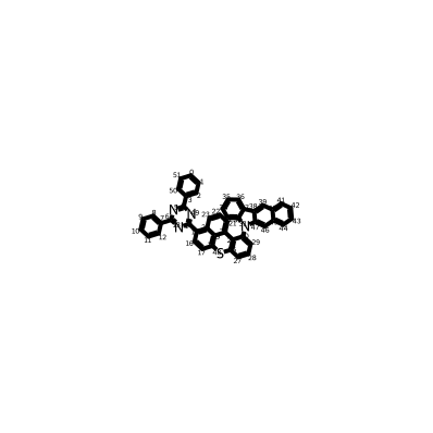 c1ccc(-c2nc(-c3ccccc3)nc(-c3ccc4c5c(cccc35)-c3c(cccc3-n3c5ccccc5c5cc6ccccc6cc53)S4)n2)cc1